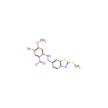 COc1cc(NCc2ccc3nc(SC)sc3c2)c([N+](=O)[O-])cc1Br